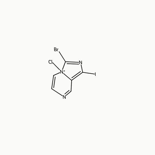 Cl[N+]12C=CN=CC1=C(I)N=C2Br